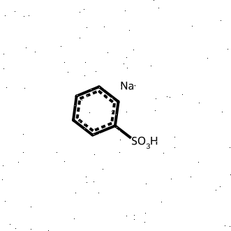 O=S(=O)(O)c1ccccc1.[Na]